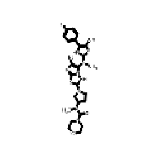 CCc1nc2n(c1N(C)C1NC(c3ccc(F)cc3)=C(C#N)S1)NC(N1CCC(N(C)C(=O)N3CCOCC3)C1)S2